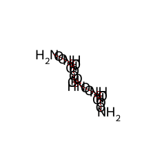 NCCOCCOCCNc1ccc2c3c(cccc13)C(=O)N(CCOCCOCCN1C(=O)c3cccc4c(NCCOCCOCCNc5ccc6c7c(cccc57)C(=O)N(CCOCCOCCN)C6=O)ccc(c34)C1=O)C2=O